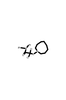 CC(C)N(C(=O)C(Cl)(Cl)SN1CCCCCCCC1)C(C)C